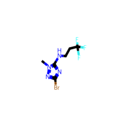 Cn1nc(Br)nc1NCCC(F)(F)F